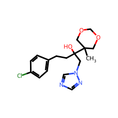 CC1(C(O)(CCc2ccc(Cl)cc2)Cn2cncn2)COCOC1